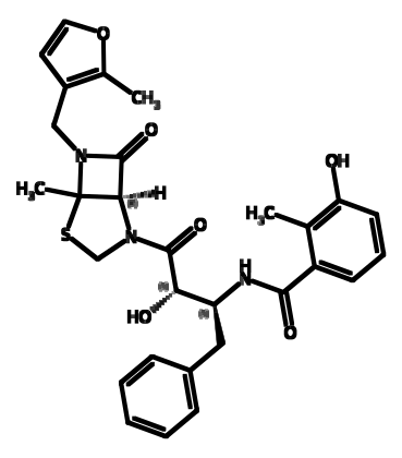 Cc1occc1CN1C(=O)[C@H]2N(C(=O)[C@@H](O)[C@H](Cc3ccccc3)NC(=O)c3cccc(O)c3C)CSC21C